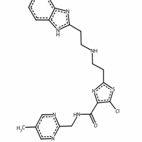 Cc1cnc(CNC(=O)c2nc(CCNCCc3nc4ccccc4[nH]3)sc2Cl)nc1